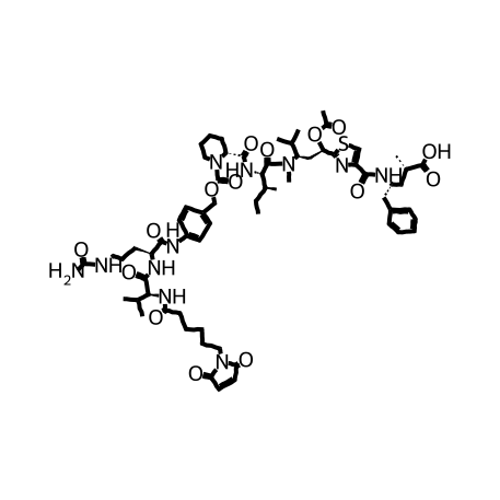 CC[C@H](C)[C@H](NC(=O)[C@H]1CCCCN1C(=O)OCc1ccc(NC(=O)[C@H](CCCNC(N)=O)NC(=O)[C@@H](NC(=O)CCCCCN2C(=O)C=CC2=O)C(C)C)cc1)C(=O)N(C)[C@H](C[C@@H](OC(C)=O)c1nc(C(=O)N[C@@H](Cc2ccccc2)C[C@H](C)C(=O)O)cs1)C(C)C